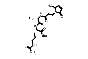 C[C@H](NC(=O)CCN1C(=O)C=CC1O)C(=O)N[C@@H](CCCNC(N)=O)C(=O)C(C)(C)C